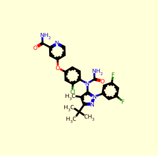 Cc1c(C(C)(C)C)nn(-c2cc(F)cc(F)c2)c1N(C(N)=O)c1ccc(Oc2ccnc(C(N)=O)c2)cc1Cl